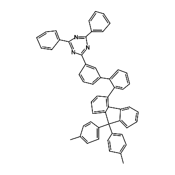 Cc1ccc(C2(c3ccc(C)cc3)c3ccccc3-c3c(-c4ccccc4-c4cccc(-c5nc(-c6ccccc6)nc(-c6ccccc6)n5)c4)cccc32)cc1